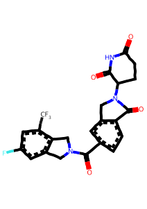 O=C1CCC(N2Cc3cc(C(=O)N4Cc5cc(F)cc(C(F)(F)F)c5C4)ccc3C2=O)C(=O)N1